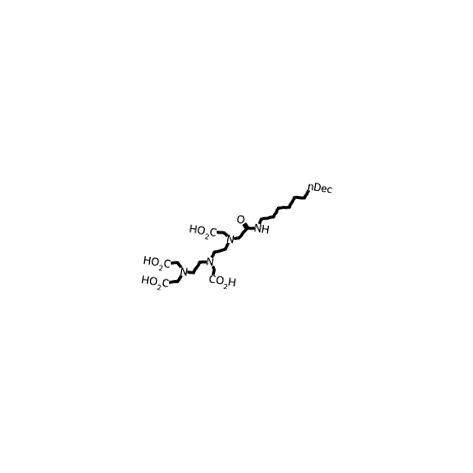 CCCCCCCCCCCCCCCCNC(=O)CN(CCN(CCN(CC(=O)O)CC(=O)O)CC(=O)O)CC(=O)O